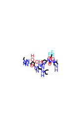 CCC(CC)Nc1nc(N2CC[C@@H](N(OC(=O)C(F)(F)F)C(=O)NC3CCNC3)C2)nc2c1ncn2[C@@H]1O[C@H](c2nnn(CC)n2)[C@@H](O)[C@@H]1O